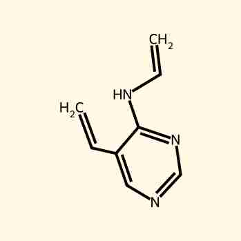 C=CNc1ncncc1C=C